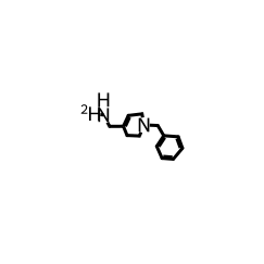 [2H]NCC1=CCN(Cc2ccccc2)CC1